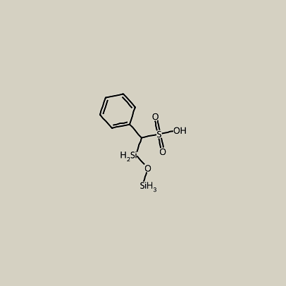 O=S(=O)(O)C([SiH2]O[SiH3])c1ccccc1